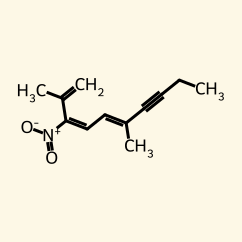 C=C(C)/C(=C\C=C(/C)C#CCC)[N+](=O)[O-]